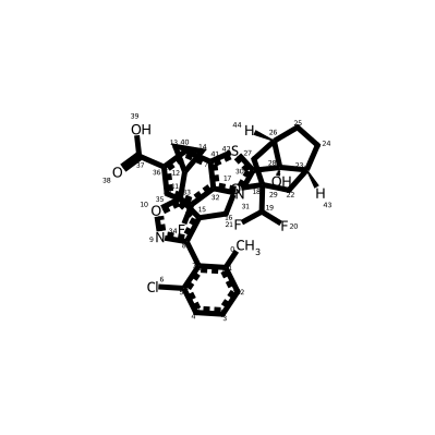 Cc1cccc(Cl)c1-c1noc(C2CC2)c1COC1(C(F)F)C[C@H]2CC[C@@H](C1)[C@]2(O)c1nc2c(F)cc(C(=O)O)cc2s1